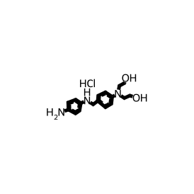 Cl.Nc1ccc(NCc2ccc(N(CCO)CCO)cc2)cc1